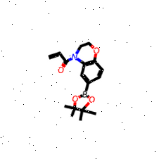 C=CC(=O)N1CCOc2ccc(B3OC(C)(C)C(C)(C)O3)cc21